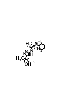 CN(C1CCCCC1)C(C)(C)C(=O)Nc1cc(C(C)(C)CO)no1